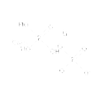 O=P(O)(O)O.O=P([O-])([O-])[O-].[Co+2].[Li+]